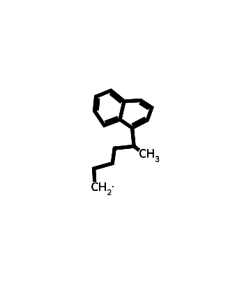 [CH2]CCCC(C)c1cccc2ccccc12